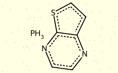 P.c1cnc2sccc2n1